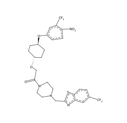 O=C(CO[C@H]1CC[C@H](Oc2ccc([N+](=O)[O-])c(C(F)(F)F)c2)CC1)N1CCN(Cc2nc3cc(C(F)(F)F)ccc3s2)CC1